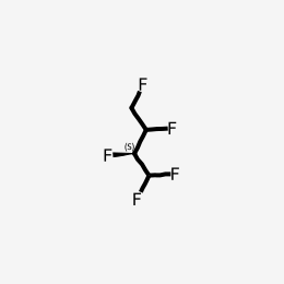 FCC(F)[C@H](F)C(F)F